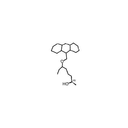 CCC(CCC[C@@H](C)O)OCC1C2CCCCC2CC2CCCCC21